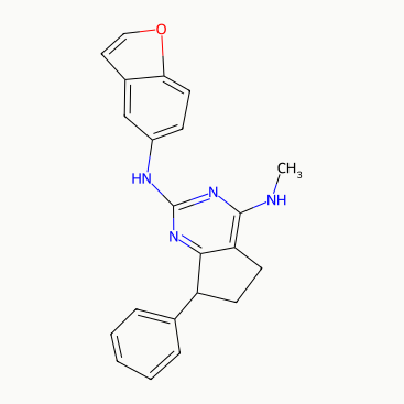 CNc1nc(Nc2ccc3occc3c2)nc2c1CCC2c1ccccc1